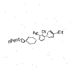 CCCCCO[C@H]1CC[C@H](c2ccc(-c3ccc(CC)cc3)c(C#N)c2C#N)CC1